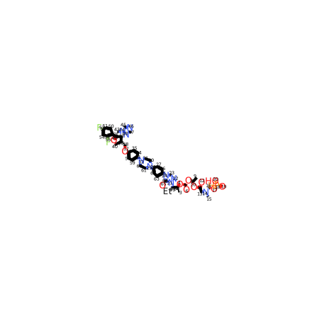 CC[C@@H]([C@H](C)OC(=O)OC(C)OC(=O)CN(C)CO[PH](=O)O)n1ncn(-c2ccc(N3CCN(c4ccc(OC[C@@H]5CO[C@@](Cn6cncn6)(c6ccc(F)cc6F)C5)cc4)CC3)cc2)c1=O